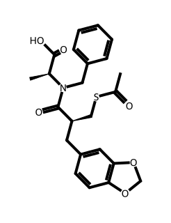 CC(=O)SC[C@@H](Cc1ccc2c(c1)OCO2)C(=O)N(Cc1ccccc1)[C@@H](C)C(=O)O